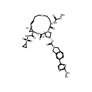 CC(C)Nc1nc(-c2ccc3c(c2)CN(C(=O)O[C@@H]2C[C@H]4C(=O)N[C@]5(C(=O)NS(=O)(=O)C6CC6)C[C@H]5/C=C/CCCCC[C@H](NC(=O)OC(C)(C)C)C(=O)N4C2)C3)cs1